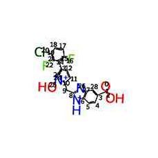 O=C(O)c1ccc2[nH]c(Cc3ccc(-c4c(F)ccc(Cl)c4F)c[n+]3O)nc2c1